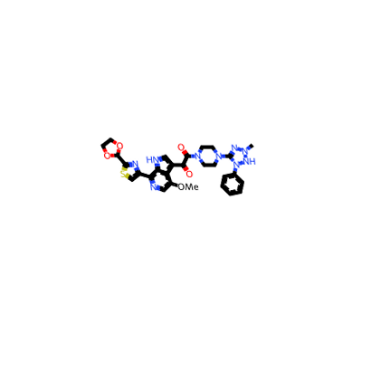 COc1cnc(-c2csc(C3OCCO3)n2)c2[nH]cc(C(=O)C(=O)N3CCN(C4=NN(C)NN4c4ccccc4)CC3)c12